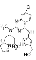 C[C@@H]1C[C@@H](N(C)c2nc(Nc3cc(CO)[nH]n3)c3ccc(Cl)cc3n2)C[C@@H]2CCSN21